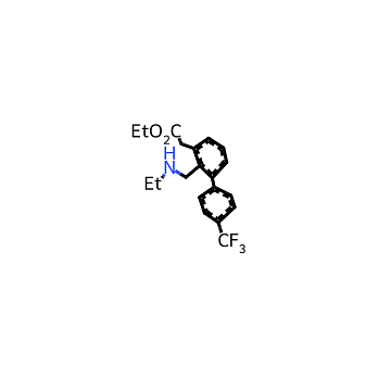 CCNCc1c(CC(=O)OCC)cccc1-c1ccc(C(F)(F)F)cc1